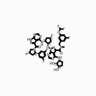 CN(Cc1cc(F)cc(OC(F)F)c1)C(=O)c1nn(O[C@@H]2C[C@H](F)C[C@H]2Nc2ncnc3[nH]nc(C(=O)N4C[C@@H](F)C[C@@H]4c4cc(F)cc(F)c4)c23)c2ncnc(N[C@@H]3CC[C@@H](O)[C@H]3O)c12